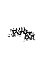 COc1cc(F)cc(F)c1-c1nccc(Nc2cc(N3C[C@@H](C)C[C@H](N)C3)c(-c3cnn(C(F)F)c3)cn2)n1.Cl